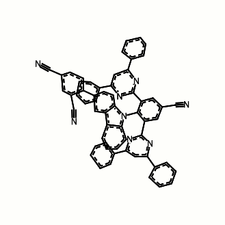 N#Cc1ccc(-c2ccc3c(c2)c2ccccc2n3-c2c(-c3nc(-c4ccccc4)cc(-c4ccccc4)n3)cc(C#N)cc2-c2nc(-c3ccccc3)cc(-c3ccccc3)n2)c(C#N)c1